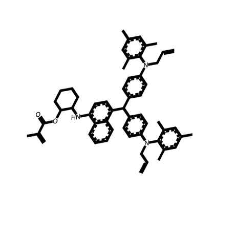 C=CCN(c1ccc(C(c2ccc(N(CC=C)c3c(C)cc(C)cc3C)cc2)c2ccc(NC3CCCCC3OC(=O)C(=C)C)c3ccccc23)cc1)c1c(C)cc(C)cc1C